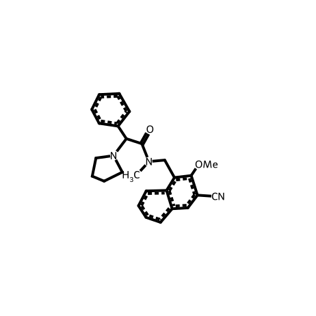 COc1c(C#N)cc2ccccc2c1CN(C)C(=O)C(c1ccccc1)N1CCCC1